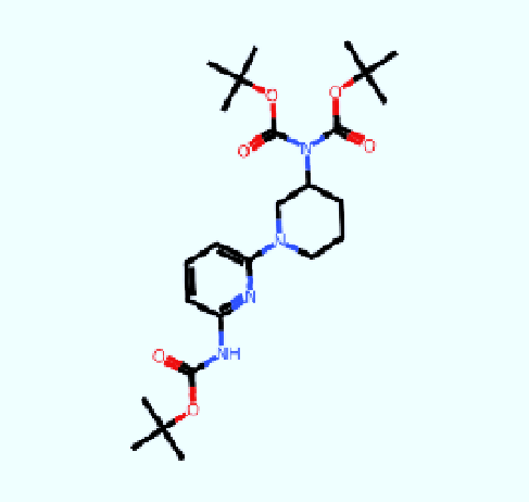 CC(C)(C)OC(=O)Nc1cccc(N2CCCC(N(C(=O)OC(C)(C)C)C(=O)OC(C)(C)C)C2)n1